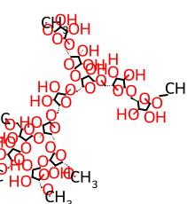 CCCO[C@H]1O[C@H](CO[C@H]2O[C@H](CO[C@H]3O[C@H](CO[C@H]4O[C@H](CO[C@H]5O[C@H](CO[C@H]6O[C@H](COC)[C@H](O)C6O[C@@H]6O[C@H](COC)[C@H](O)C6O)[C@H](O[C@@H]6O[C@H](COC)[C@H](O)C6O[C@@H]6O[C@H](COC)[C@H](O)C6O)C5O)[C@H](O)C4O)[C@H](O[C@@H]4O[C@H](CO[C@H]5O[C@H](OC)[C@H](O)C5O)[C@H](O)C4O)C3O)[C@H](O)C2O)[C@H](O)C1O